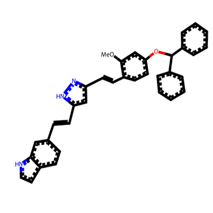 COc1cc(OC(c2ccccc2)c2ccccc2)ccc1C=Cc1cc(C=Cc2ccc3cc[nH]c3c2)[nH]n1